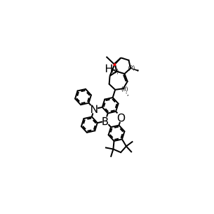 CC1C2C[C@@H](C)C3=C[C@H](C)C(c4cc5c6c(c4)N(c4ccccc4)c4ccccc4B6c4cc6c(cc4O5)C(C)(C)CC6(C)C)CC1[C@@H]3C2